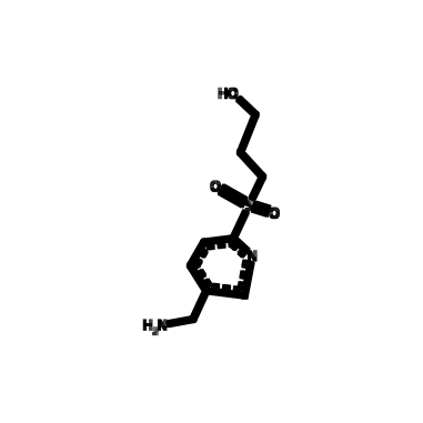 NCc1ccc(S(=O)(=O)CCCO)nc1